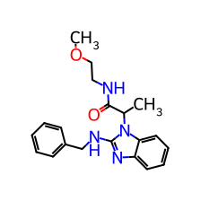 COCCNC(=O)C(C)n1c(NCc2ccccc2)nc2ccccc21